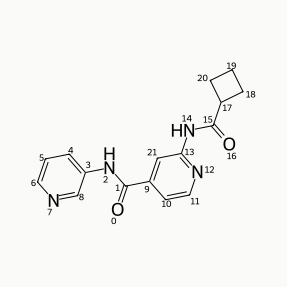 O=C(Nc1cccnc1)c1ccnc(NC(=O)C2CCC2)c1